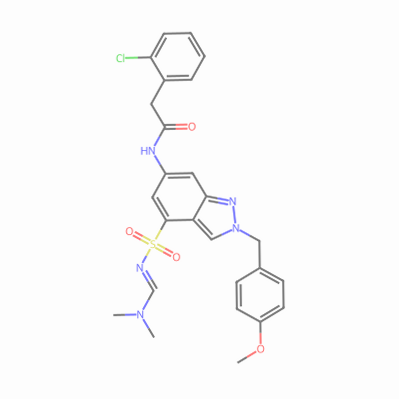 COc1ccc(Cn2cc3c(S(=O)(=O)/N=C/N(C)C)cc(NC(=O)Cc4ccccc4Cl)cc3n2)cc1